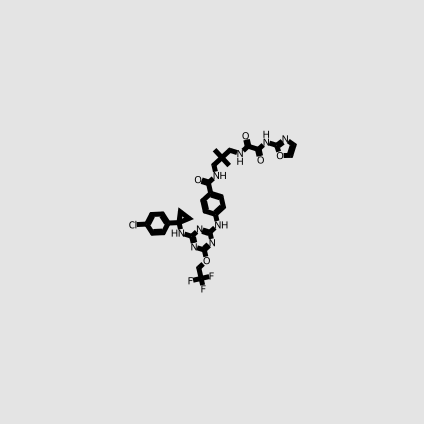 CC(C)(CNC(=O)C(=O)Nc1ncco1)CNC(=O)c1ccc(Nc2nc(NC3(c4ccc(Cl)cc4)CC3)nc(OCC(F)(F)F)n2)cc1